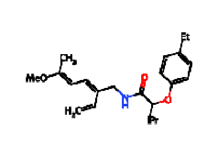 C=C/C(=C\C=C(/C)OC)CNC(=O)C(Oc1ccc(CC)cc1)C(C)C